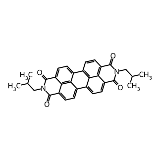 CC(C)CN1C(=O)c2ccc3c4ccc5c6c(ccc(c7ccc(c2c37)C1=O)c64)C(=O)N(CC(C)C)C5=O